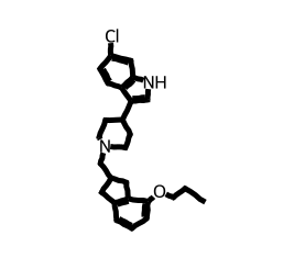 CCCOc1cccc2c1CC(CN1CCC(c3c[nH]c4cc(Cl)ccc34)CC1)C2